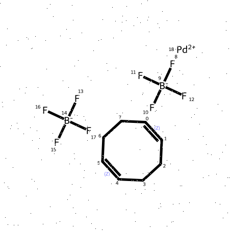 C1=C\CC/C=C\CC/1.F[B-](F)(F)F.F[B-](F)(F)F.[Pd+2]